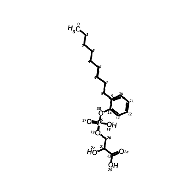 CCCCCCCCCc1ccccc1OP(=O)(O)OCC(O)C(=O)O